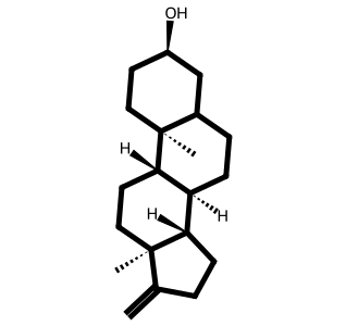 C=C1CC[C@H]2[C@@H]3CCC4C[C@H](O)CC[C@]4(C)[C@H]3CC[C@]12C